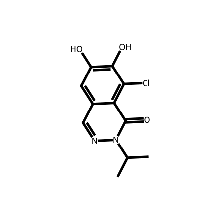 CC(C)n1ncc2cc(O)c(O)c(Cl)c2c1=O